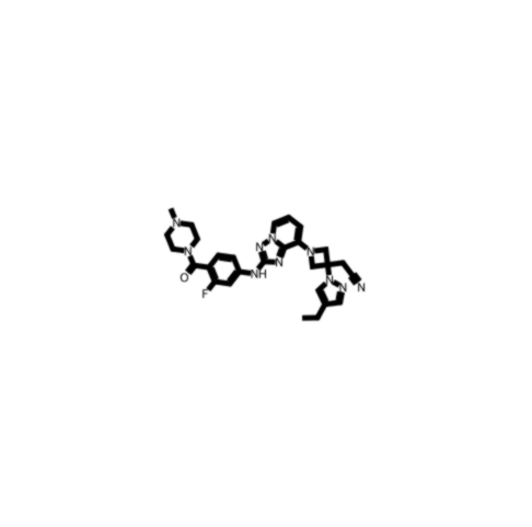 CCc1cnn(C2(CC#N)CN(c3cccn4nc(Nc5ccc(C(=O)N6CCN(C)CC6)c(F)c5)nc34)C2)c1